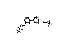 CC(C)(C)[Si](C)(C)OCc1cccc(-c2cnc(OC[C@H]3CC3(F)F)nc2)n1